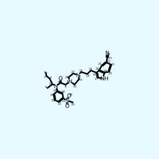 CCCC(C)N(C(=O)CN1CCN(CCCc2c[nH]c3ccc(C#N)cc23)CC1)c1cccc(S(C)(=O)=O)c1